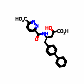 O=C(O)c1ccc(C(=O)N[C@H](Cc2ccc(-c3ccccc3)cc2)CC(O)C(=O)O)nn1